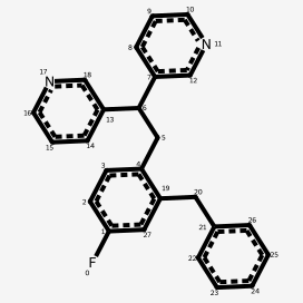 Fc1ccc(CC(c2cccnc2)c2cccnc2)c(Cc2ccccc2)c1